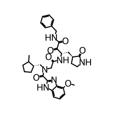 COc1cccc2[nH]c(C(=O)N(CC(=O)N[C@@H](C[C@@H]3CCNC3=O)C(=O)C(=O)NCc3ccccc3)C[C@@H]3CCCC3C)nc12